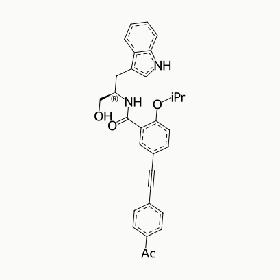 CC(=O)c1ccc(C#Cc2ccc(OC(C)C)c(C(=O)N[C@@H](CO)Cc3c[nH]c4ccccc34)c2)cc1